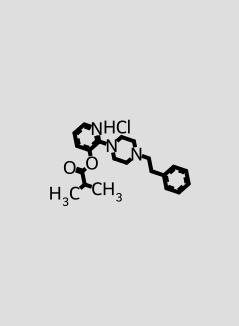 CC(C)C(=O)Oc1cccnc1N1CCN(CCc2ccccc2)CC1.Cl